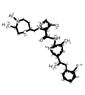 CC(=O)N1CCC(Cn2ncc(Cl)c2C(=O)Nc2ncc(C(C)Cc3ccccc3F)cc2C)CCC1C